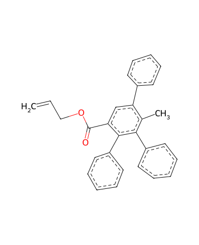 C=CCOC(=O)c1cc(-c2ccccc2)c(C)c(-c2ccccc2)c1-c1ccccc1